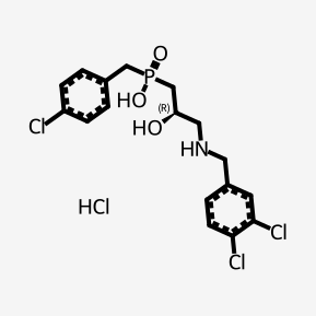 Cl.O=P(O)(Cc1ccc(Cl)cc1)C[C@H](O)CNCc1ccc(Cl)c(Cl)c1